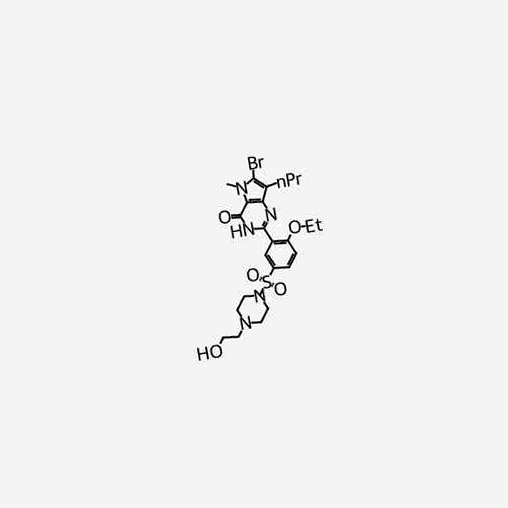 CCCc1c(Br)n(C)c2c(=O)[nH]c(-c3cc(S(=O)(=O)N4CCN(CCO)CC4)ccc3OCC)nc12